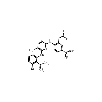 C=C(C)c1c(CC)cccc1Nc1nc(Nc2ccc(N(CCC)CCC)cc2CC(F)F)ncc1C